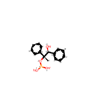 C[C@@](OP(O)O)(c1ccccc1)[C@@H](O)c1ccccc1